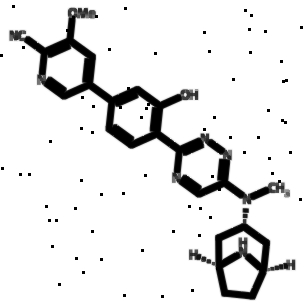 COc1cc(-c2ccc(-c3ncc(N(C)[C@@H]4C[C@H]5CC[C@@H](C4)N5)nn3)c(O)c2)cnc1C#N